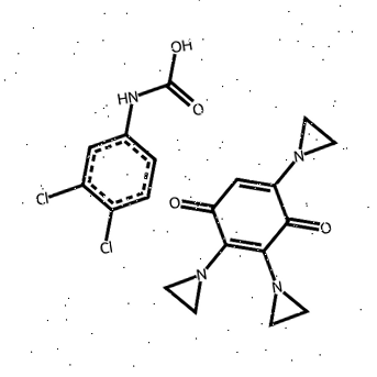 O=C(O)Nc1ccc(Cl)c(Cl)c1.O=C1C=C(N2CC2)C(=O)C(N2CC2)=C1N1CC1